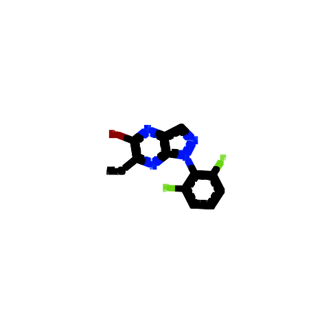 COc1nc2c(cnn2-c2c(F)cccc2F)nc1Br